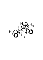 CCC(CC)(NC(=O)c1cnn2c1NC(c1ccccc1)CC2(C)C)c1ccccc1